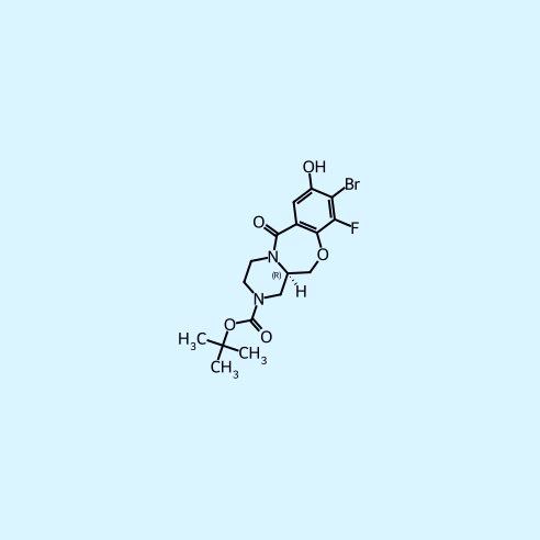 CC(C)(C)OC(=O)N1CCN2C(=O)c3cc(O)c(Br)c(F)c3OC[C@H]2C1